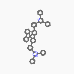 c1ccc(-c2cc(-c3ccccc3)nc(-c3cccc(-c4ccc5c(c4)C4(c6ccccc6-c6ccccc64)c4cc(-c6cccc(-c7nc(-c8ccccc8)nc(-c8ccccc8)n7)c6)ccc4-5)c3)c2)cc1